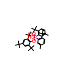 Cc1ccc(C(C)(C)C)c(P(O)(O)(Oc2c(C(C)(C)C)cc(C(C)(C)C)cc2C(C)(C)C)c2cc(C)ccc2C(C)(C)C)c1